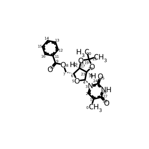 Cc1cn([C@@H]2O[C@H](COC(=O)c3ccccc3)[C@H]3OC(C)(C)O[C@H]32)c(=O)[nH]c1=O